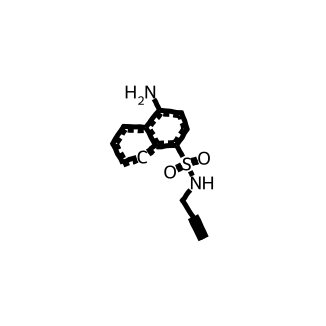 C#CCNS(=O)(=O)c1ccc(N)c2ccccc12